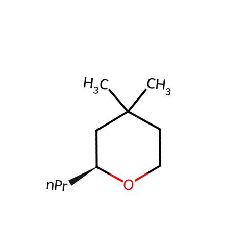 CCC[C@H]1CC(C)(C)CCO1